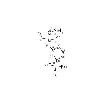 CCC(CC)(Cc1cccc(C(F)(F)F)c1)O[SiH3]